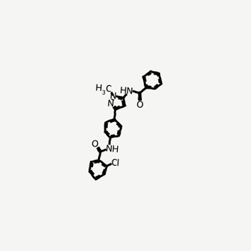 Cn1nc(-c2ccc(NC(=O)c3ccccc3Cl)cc2)cc1NC(=O)c1ccccc1